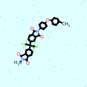 Cc1ccc(Oc2ccc(N3C(=O)c4ccc(C(c5ccc6c(c5)C(=O)N(C)C6=O)(C(F)(F)F)C(F)(F)F)cc4C3=O)cc2)cc1